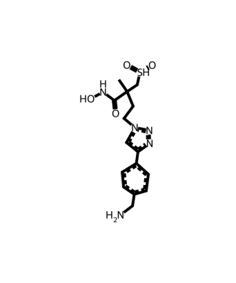 CC(CCn1cc(-c2ccc(CN)cc2)nn1)(C[SH](=O)=O)C(=O)NO